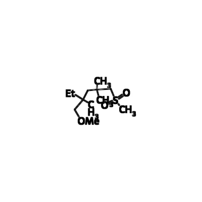 CCC(C)(COC)CC(C)(C)CS(C)(=O)=O